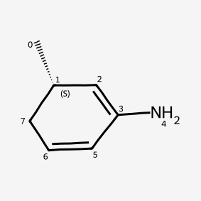 C[C@@H]1C=C(N)C=CC1